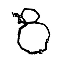 OOC12CCCCCCCCCCC1CCCO2